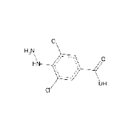 NNc1c(Cl)cc(C(=O)O)cc1Cl